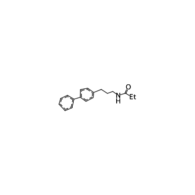 CCC(=O)NCCCc1ccc(-c2ccccc2)cc1